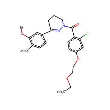 CCOc1cc(C2=NN(C(=O)c3ccc(OCCOCC(=O)O)cc3Cl)CCC2)ccc1OC